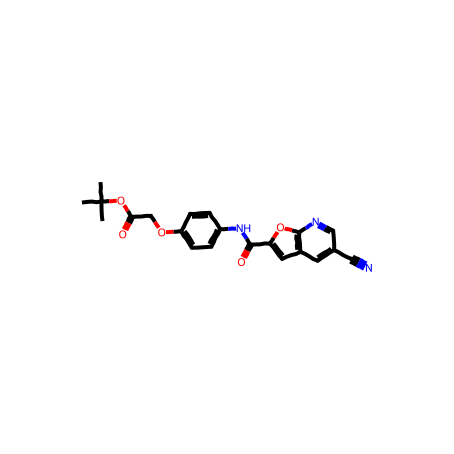 CC(C)(C)OC(=O)COc1ccc(NC(=O)c2cc3cc(C#N)cnc3o2)cc1